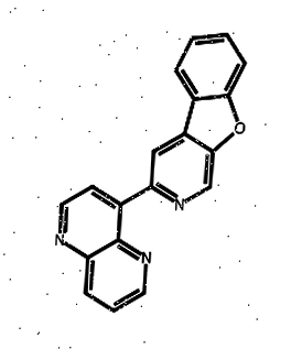 c1cnc2c(-c3cc4c(cn3)oc3ccccc34)ccnc2c1